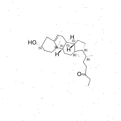 CCC(=O)CC[C@@H](C)[C@H]1CC[C@H]2[C@@H]3CC=C4C[C@@H](O)CC[C@]4(C)[C@H]3CC[C@]12C